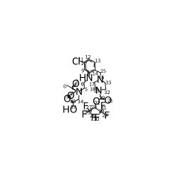 CS(=O)(=O)N(CCNc1cc(Cl)ccc1CN1CCN(C(=O)OC(C(F)(F)F)C(F)(F)F)CC1)CC(=O)O